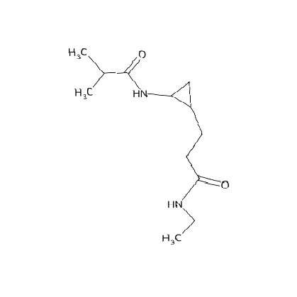 CCNC(=O)CCC1CC1NC(=O)C(C)C